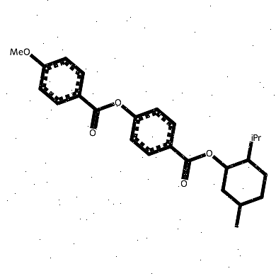 COc1ccc(C(=O)Oc2ccc(C(=O)OC3CC(C)CCC3C(C)C)cc2)cc1